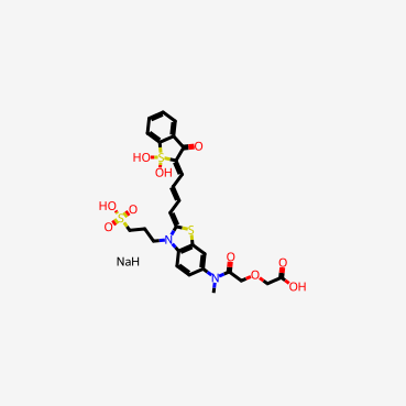 CN(C(=O)COCC(=O)O)c1ccc2c(c1)SC(=CC=CC=C1C(=O)c3ccccc3S1(O)O)N2CCCS(=O)(=O)O.[NaH]